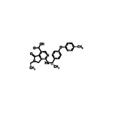 CCN1Cc2c(N[C@@H](C)c3ccc(Oc4ccc(C)cc4)cc3)ncc(C(=O)O)c2C1=O